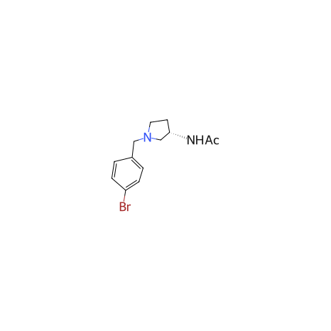 CC(=O)N[C@H]1CCN(Cc2ccc(Br)cc2)C1